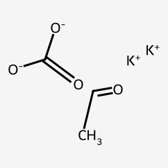 CC=O.O=C([O-])[O-].[K+].[K+]